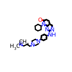 CN(C)CCCN1CCN(c2ccc(Nc3ncc4ccc(=O)n(C5CCCCC5)c4n3)cc2)CC1